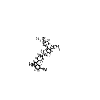 COc1ccc(NC(=O)N2CCC(c3c[nH]c4ccc(C#N)cc34)CC2)cc1N1CCN(C)CC1